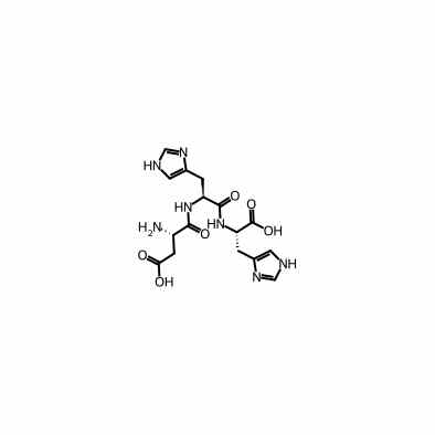 N[C@@H](CC(=O)O)C(=O)N[C@@H](Cc1c[nH]cn1)C(=O)N[C@@H](Cc1c[nH]cn1)C(=O)O